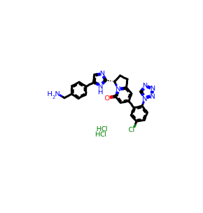 Cl.Cl.NCc1ccc(-c2cnc([C@@H]3CCc4cc(-c5cc(Cl)ccc5-n5cnnn5)cc(=O)n43)[nH]2)cc1